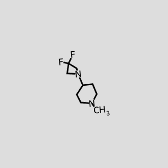 CN1CCC(N2CC(F)(F)C2)CC1